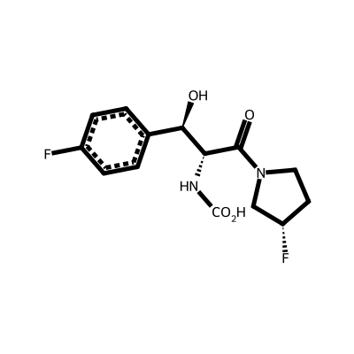 O=C(O)N[C@@H](C(=O)N1CC[C@H](F)C1)[C@H](O)c1ccc(F)cc1